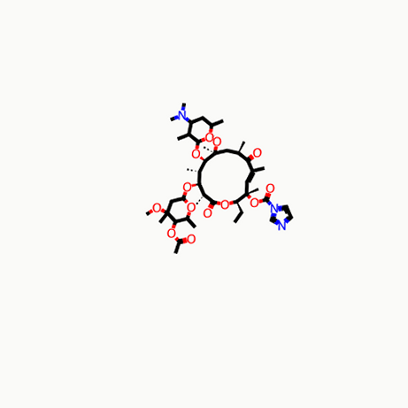 CC[C@H]1OC(=O)[C@H](C)[C@@H](OC2CC(C)(OC)C(OC(C)=O)C(C)O2)[C@H](C)[C@@H](OC2OC(C)CC(N(C)C)C2C)[C@@](C)(OC)C[C@@H](C)C(=O)/C(C)=C/[C@]1(C)OC(=O)n1ccnc1